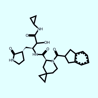 O=C(NC1CC1)C(O)[C@H](C[C@@H]1CCNC1=O)NC(=O)[C@@H]1CC2(CCN1C(=O)C1Cc3ccccc3C1)CC2